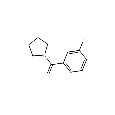 O=C(c1cccc(Br)c1)N1CCCC1